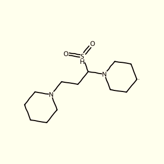 O=[SH](=O)C(CCN1CCCCC1)N1CC[CH]CC1